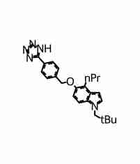 CCCc1c(OCc2ccc(-c3nnn[nH]3)cc2)ccc2c1ccn2CC(C)(C)C